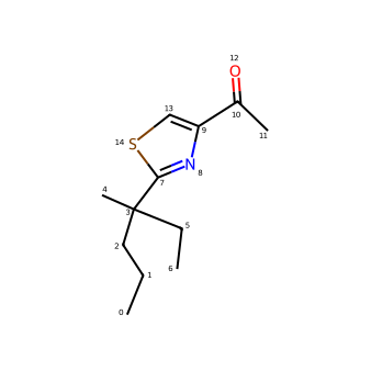 CCCC(C)(CC)c1nc(C(C)=O)cs1